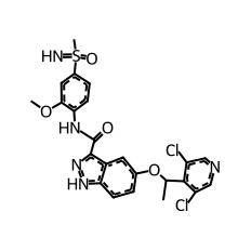 COc1cc(S(C)(=N)=O)ccc1NC(=O)c1n[nH]c2ccc(OC(C)c3c(Cl)cncc3Cl)cc12